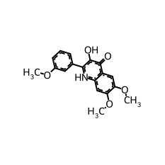 COc1cccc(-c2[nH]c3cc(OC)c(OC)cc3c(=O)c2O)c1